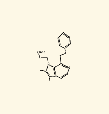 COCCn1c(C)c(C)c2ccnc(CCc3ccccc3)c21